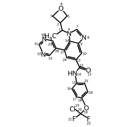 CC(C1COC1)n1cnc2cc(C(=O)Nc3ccc(OC(F)(F)Cl)cc3)cc(-c3cncnc3)c21